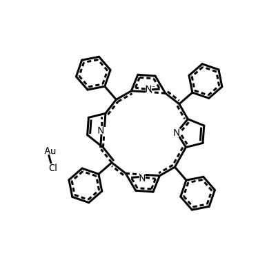 C1=Cc2nc1c(-c1ccccc1)c1ccc([n-]1)c(-c1ccccc1)c1nc(c(-c3ccccc3)c3ccc([n-]3)c2-c2ccccc2)C=C1.[Cl][Au]